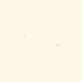 COc1cccc2oc(CBr)c(-c3cccc(F)c3)c(=O)c12